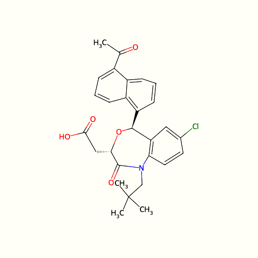 CC(=O)c1cccc2c([C@@H]3O[C@@H](CC(=O)O)C(=O)N(CC(C)(C)C)c4ccc(Cl)cc43)cccc12